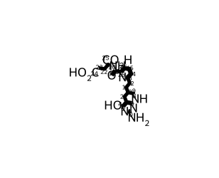 Nc1nc(O)c2c(n1)NCC(CCc1cccc(C(=O)N[C@@H](CCC(=O)O)C(=O)O)n1)C2